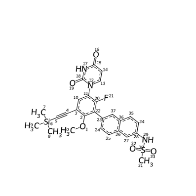 COc1c(C#C[Si](C)(C)C)cc(-n2ccc(=O)[nH]c2=O)c(F)c1-c1ccc2cc(NS(C)(=O)=O)ccc2c1